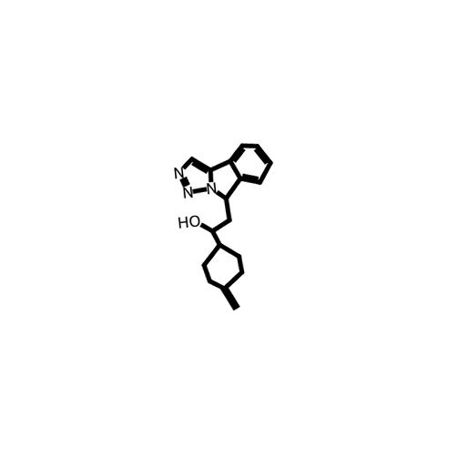 C=C1CCC(C(O)CC2c3ccccc3-c3cnnn32)CC1